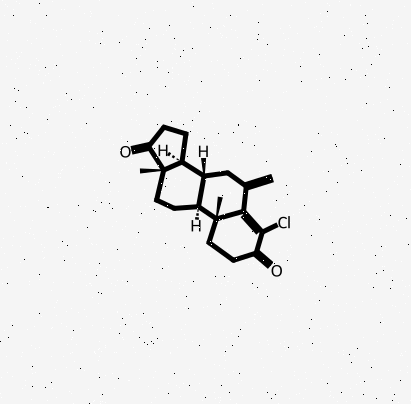 C=C1C[C@@H]2[C@H](CC[C@]3(C)C(=O)CC[C@@H]23)[C@@]2(C)CCC(=O)C(Cl)=C12